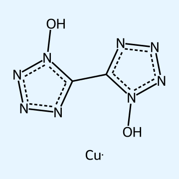 On1nnnc1-c1nnnn1O.[Cu]